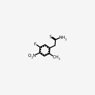 Cc1cc([N+](=O)[O-])c(F)cc1CC(N)=S